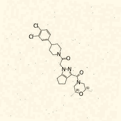 C[C@@H]1CN(C(=O)c2nn(CC(=O)N3CCC(c4ccc(Cl)c(Cl)c4)CC3)c3c2CCC3)C[C@H](C)O1